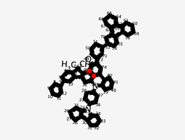 CC1(C)c2ccc(-c3ccccc3)cc2-c2cc(N(c3ccc(-n4c5ccccc5c5ccccc54)cc3)c3ccccc3-c3ccc4oc5ccc(-c6ccc7c8ccccc8c8ccccc8c7c6)cc5c4c3)ccc21